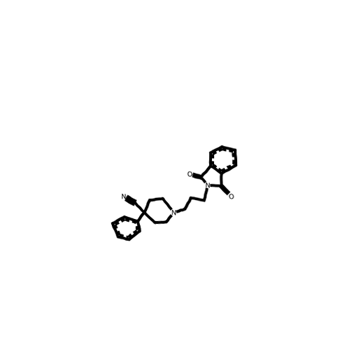 N#CC1(c2ccccc2)CCN(CCCN2C(=O)c3ccccc3C2=O)CC1